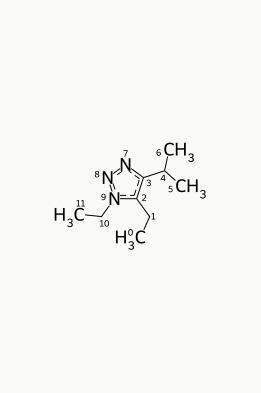 CCc1c(C(C)C)nnn1CC